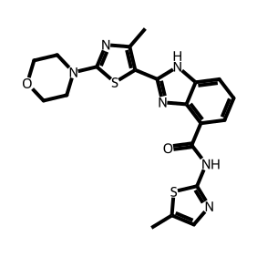 Cc1cnc(NC(=O)c2cccc3[nH]c(-c4sc(N5CCOCC5)nc4C)nc23)s1